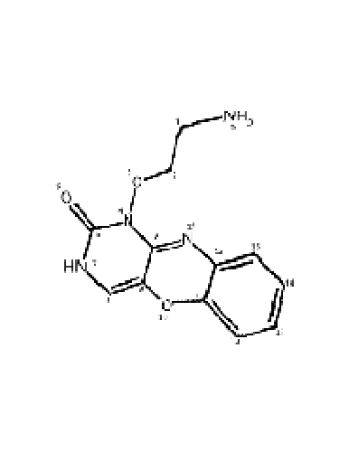 NCCON1C(=O)NC=C2Oc3ccccc3N=C21